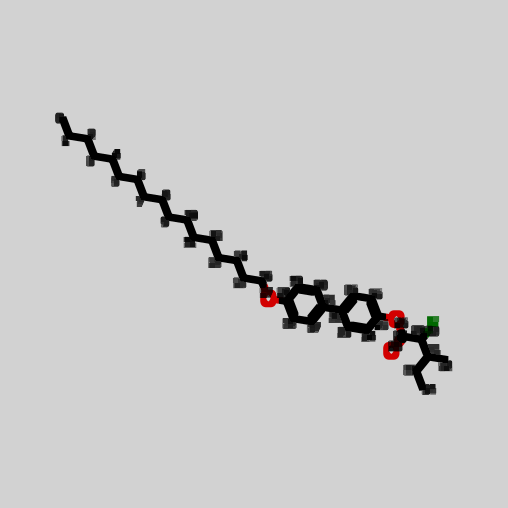 CCCCCCCCCCCCCCCCCOc1ccc(-c2ccc(OC(=O)C(F)C(C)CC)cc2)cc1